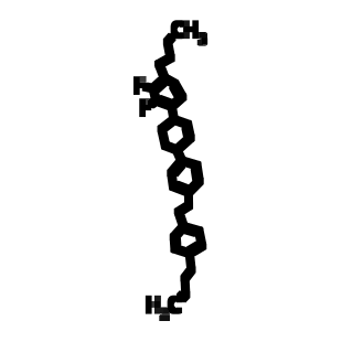 C=CCCc1ccc(CCc2ccc(C3C=CC(c4ccc(CCCC)c(F)c4F)CC3)cc2)cc1